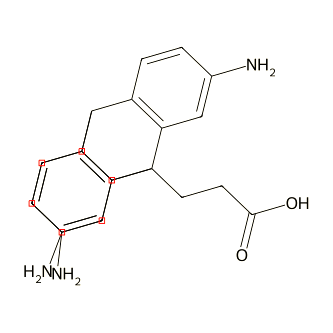 Nc1ccc2c(c1)C1(CCC(=O)O)c3cc(N)ccc3C2c2ccc(N)cc21